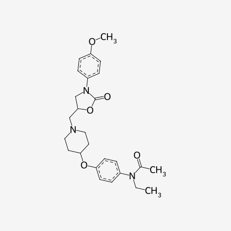 CCN(C(C)=O)c1ccc(OC2CCN(CC3CN(c4ccc(OC)cc4)C(=O)O3)CC2)cc1